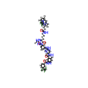 C=CC(=O)N[C@@H](CCCCNC(=O)CCC1=[N+]2C(=Cc3c(C)cc(C)n3[B-]2(F)F)C=C1)C(=O)Nc1cccc(Nc2ncc(NC(=O)c3cc(NC(=O)c4cccc(C(F)(F)F)c4)ccc3C)cn2)c1